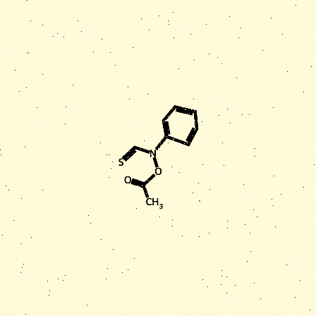 CC(=O)ON(C=S)c1ccccc1